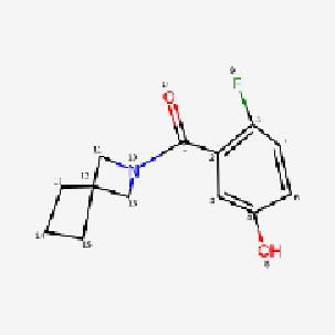 O=C(c1cc(O)ccc1F)N1CC2(CCC2)C1